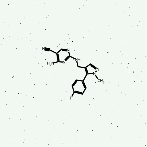 Cn1ncc(CNc2ncc(C#N)c(N)n2)c1-c1ccc(F)cc1